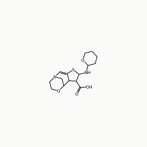 O=C(O)C1C(NC2CCCCO2)SC2=CN3CCOC(C3)C21